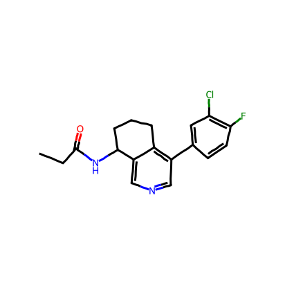 CCC(=O)NC1CCCc2c(-c3ccc(F)c(Cl)c3)cncc21